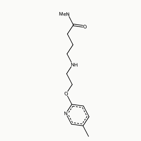 CNC(=O)CCCNCCOc1ccc(C)cn1